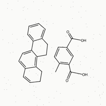 C1=Cc2ccc3c(c2CC1)CCc1ccccc1-3.Cc1ccc(C(=O)O)cc1C(=O)O